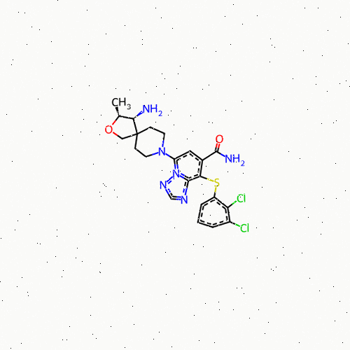 C[C@@H]1OCC2(CCN(c3cc(C(N)=O)c(Sc4cccc(Cl)c4Cl)c4ncnn34)CC2)[C@@H]1N